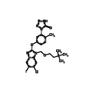 Cc1ccc(Oc2nc3cc(I)c(Cl)cc3n2COCC[Si](C)(C)C)cc1-n1nn[nH]c1=O